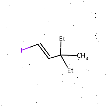 CCC(C)(C=CI)CC